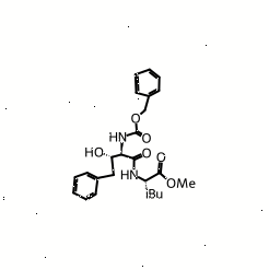 CCC(C)[C@H](NC(=O)[C@H](NC(=O)OCc1ccccc1)[C@@H](O)Cc1ccccc1)C(=O)OC